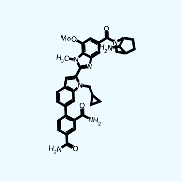 COc1cc(C(=O)N2CC3CCC2C3N)cc2nc(-c3cc4ccc(-c5ccc(C(N)=O)cc5C(N)=O)cc4n3CC3CC3)n(C)c12